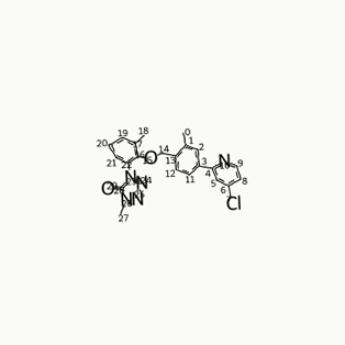 Cc1cc(-c2cc(Cl)ccn2)ccc1COc1c(C)cccc1-n1nnn(C)c1=O